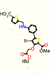 COC(=O)c1sc(-c2cccc(NCc3ccc(C(=O)O)s3)c2)c(Br)c1OCC(=O)OC(C)(C)C